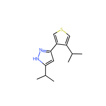 CC(C)c1cc(-c2cscc2C(C)C)n[nH]1